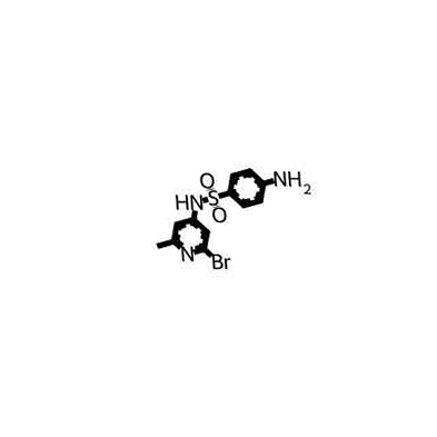 Cc1cc(NS(=O)(=O)c2ccc(N)cc2)cc(Br)n1